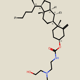 C=C1C[C@@H](OC(=O)NCCN(C)CCO)CC[C@]1(C)[C@H]1CC[C@]2(C)[C@@H]([C@H](C)CCCC(C)C)CC[C@H]2[C@@H]1CC